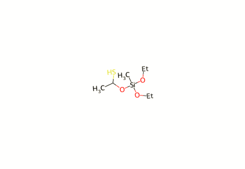 CCO[Si](C)(OCC)OC(C)S